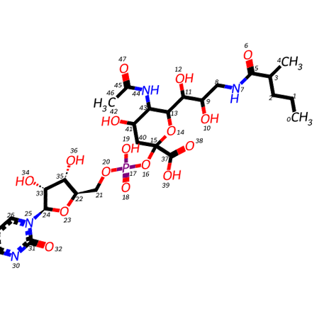 CCCC(C)C(=O)NCC(O)C(O)C1OC(OP(=O)(O)OC[C@H]2O[C@@H](n3ccc(N)nc3=O)[C@H](O)[C@@H]2O)(C(=O)O)CC(O)C1NC(C)=O